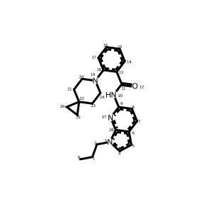 CCCn1ccc2ccc(NC(=O)c3ccccc3N3CCC4(CC3)CC4)nc21